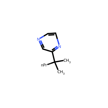 CCCC(C)(C)c1cnccn1